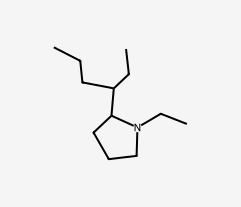 CCCC(CC)C1CCCN1CC